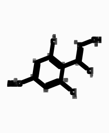 COc1cc(Cl)c(/C(Cl)=N/O)c(Cl)c1